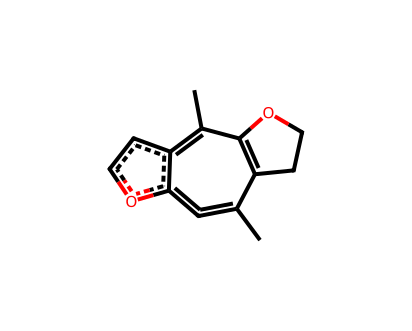 CC1=C=c2occc2=C(C)C2=C1CCO2